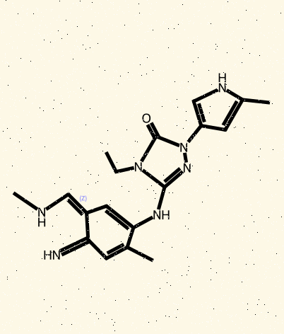 CCn1c(NC2=C/C(=C/NC)C(=N)C=C2C)nn(-c2c[nH]c(C)c2)c1=O